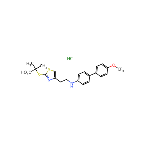 CC(C)(Sc1nc(CCNc2ccc(-c3ccc(OC(F)(F)F)cc3)cc2)cs1)C(=O)O.Cl